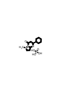 Cn1ccc2nc(-c3ccccc3)cc(=O)n21.O=P(O)(O)O